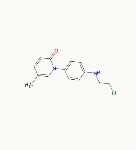 Cc1ccc(=O)n(-c2ccc(NCCCl)cc2)c1